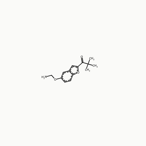 CC(C)(C)C(=O)c1cc2cc(OCN)ccc2o1